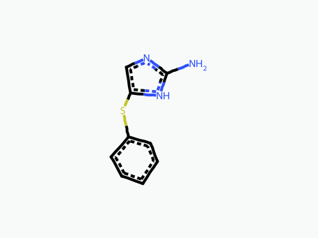 Nc1ncc(Sc2ccccc2)[nH]1